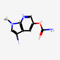 CC(C)(C)n1cc(I)c2cc(OC(N)=O)cnc21